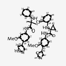 COc1cc(NC(=O)C(C)(C)Nc2ccccc2)ccc1-c1cn[nH]c1.COc1cc(NC(=O)C2(Nc3ccccc3Cl)CC2)ccc1-c1cnco1